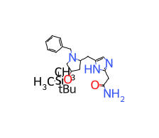 CC(C)(C)[Si](C)(C)OC1CC(Cc2cnc(CC(N)=O)[nH]2)N(Cc2ccccc2)C1